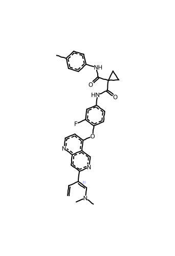 C=C/C(=C\N(C)C)c1cc2nccc(Oc3ccc(NC(=O)C4(C(=O)Nc5ccc(C)cc5)CC4)cc3F)c2cn1